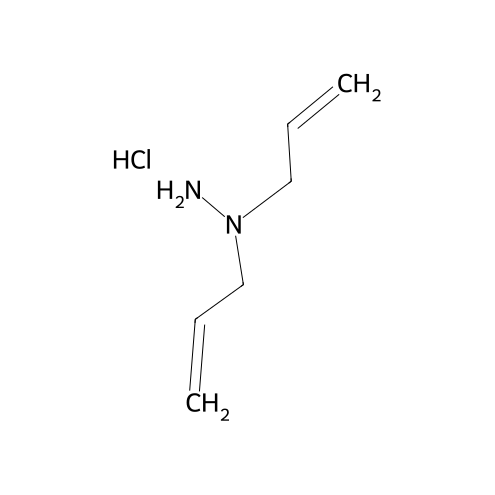 C=CCN(N)CC=C.Cl